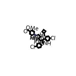 COC(=O)C1=CC(=N)/C(=C2/C[C@H]3[C@@H](N2)[C@H](c2cccc(Cl)c2F)[C@]2(C(=O)Nc4cc(Cl)ccc42)N3CC2CCC2)C=C1